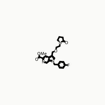 COC(=O)c1cc2c(COCCN3CCCC3=O)cn(Cc3ccc(F)cc3)c2cn1